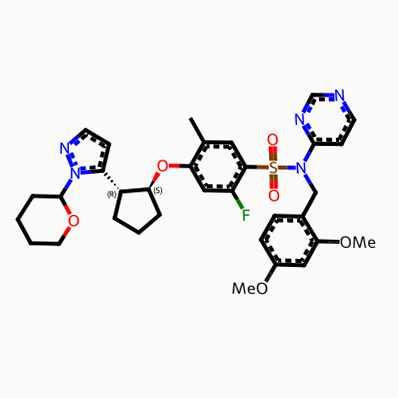 COc1ccc(CN(c2ccncn2)S(=O)(=O)c2cc(C)c(O[C@H]3CCC[C@@H]3c3ccnn3C3CCCCO3)cc2F)c(OC)c1